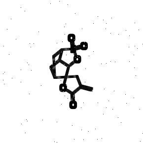 C=C1CC2(OC1=O)C1CC3C2OS(=O)(=O)C3C1